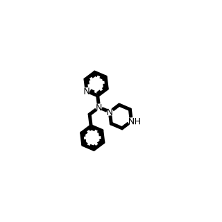 c1ccc(CN(c2ccccn2)N2CCNCC2)cc1